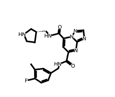 Cc1cc(CNC(=O)c2cc(C(=O)NC[C@@H]3CCNC3)n3ncnc3n2)ccc1F